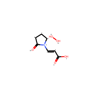 O=C(O)C=CN1CCCC1=O.OO